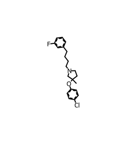 CC1(Oc2ccc(Cl)cc2)CCN(CCCCc2cccc(F)c2)C1